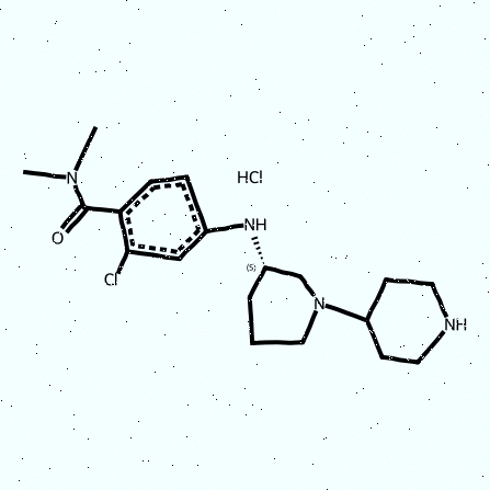 CN(C)C(=O)c1ccc(N[C@H]2CCCN(C3CCNCC3)C2)cc1Cl.Cl